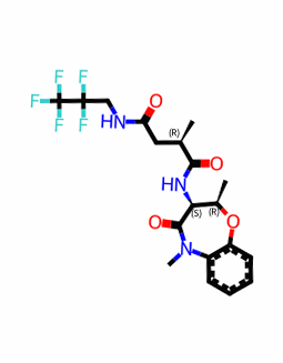 C[C@H](CC(=O)NCC(F)(F)C(F)(F)F)C(=O)N[C@@H]1C(=O)N(C)c2ccccc2O[C@@H]1C